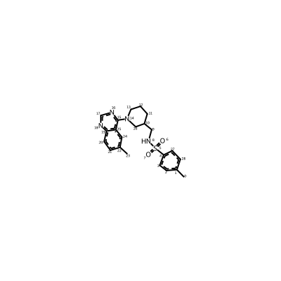 Cc1ccc(S(=O)(=O)NCC2CCCN(c3ncnc4ccc(C)cc34)C2)cc1